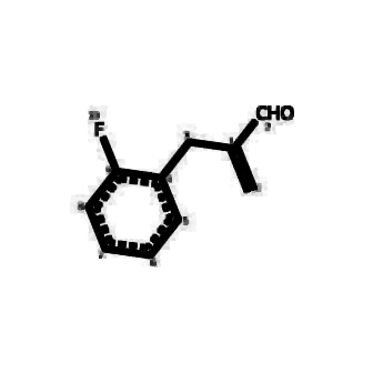 C=C(C=O)Cc1ccccc1F